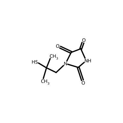 CC(C)(S)CN1C(=O)NC(=O)C1=O